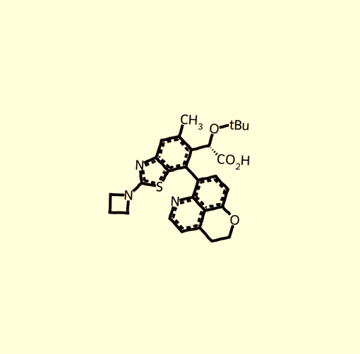 Cc1cc2nc(N3CCC3)sc2c(-c2ccc3c4c(ccnc24)CCO3)c1[C@H](OC(C)(C)C)C(=O)O